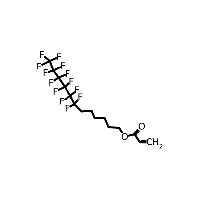 C=CC(=O)OCCCCCCC(F)(F)C(F)(F)C(F)(F)C(F)(F)C(F)(F)C(F)(F)F